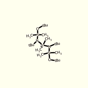 CC(C)(C)O[Si](C)(C)[N](C(C)(C)C)[Zr]([CH3])([CH3])[N](C(C)(C)C)[Si](C)(C)OC(C)(C)C